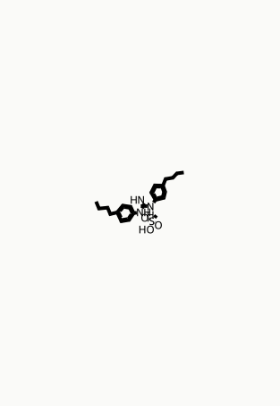 CCCCc1ccc(NC(=N)Nc2ccc(CCCC)cc2)cc1.CS(=O)(=O)O